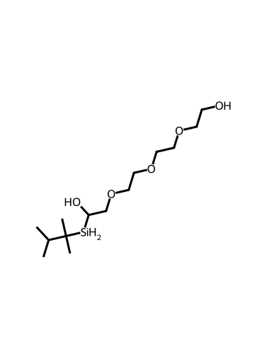 CC(C)C(C)(C)[SiH2]C(O)COCCOCCOCCO